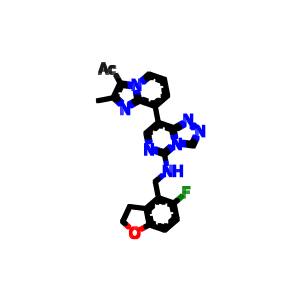 CC(=O)c1c(C)nc2c(-c3cnc(NCc4c(F)ccc5c4CCO5)n4cnnc34)cccn12